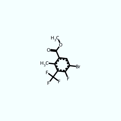 COC(=O)c1cc(Br)c(F)c(C(F)(F)F)c1C